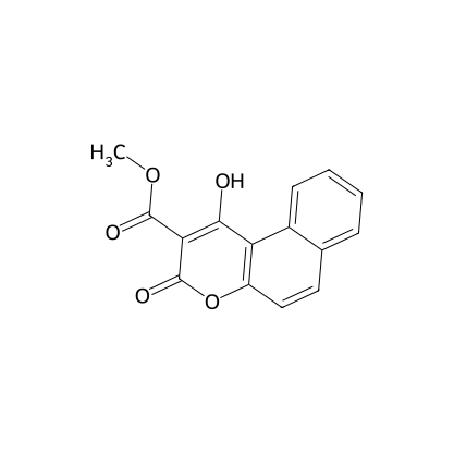 COC(=O)c1c(O)c2c(ccc3ccccc32)oc1=O